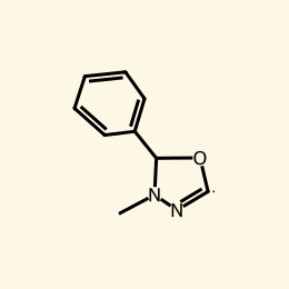 CN1N=[C]OC1c1ccccc1